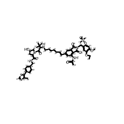 CCOc1cc([C@@H](CS(C)(=O)=O)N2C(=O)c3cc(CCCCCCCNC(C(=O)N4CC(O)CC4C(=O)NCc4ccc(-c5scnc5C)cc4)C(C)(C)C)cc(NC(C)=O)c3C2=O)ccc1OC